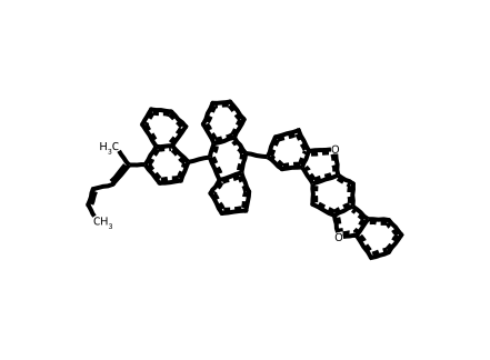 C/C=C\C=C(/C)c1ccc(-c2c3ccccc3c(-c3ccc4oc5cc6c(cc5c4c3)oc3ccccc36)c3ccccc23)c2ccccc12